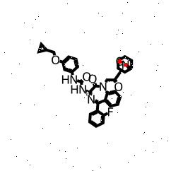 O=C(Nc1cccc(OCC2CC2)c1)N[C@@H]1N=C(c2ccccc2F)c2ccccc2N(CC(=O)N2CC3CCC(CC3)C2)C1=O